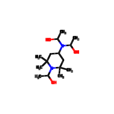 CC(O)N(C(C)O)C1CC(C)(C)N(C(C)O)C(C)(C)C1